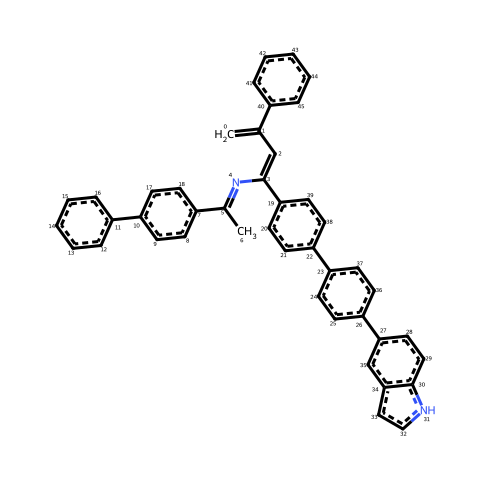 C=C(/C=C(\N=C(/C)c1ccc(-c2ccccc2)cc1)c1ccc(-c2ccc(-c3ccc4[nH]ccc4c3)cc2)cc1)c1ccccc1